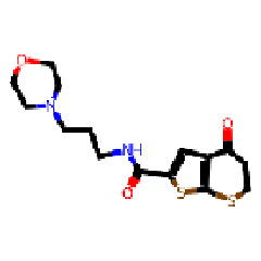 O=C(NCCCN1CCOCC1)c1cc2c(s1)SCCC2=O